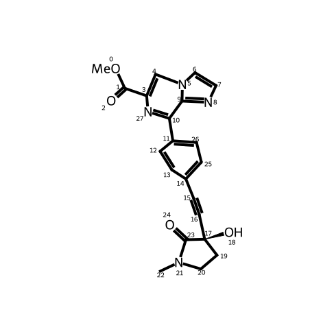 COC(=O)c1cn2ccnc2c(-c2ccc(C#C[C@]3(O)CCN(C)C3=O)cc2)n1